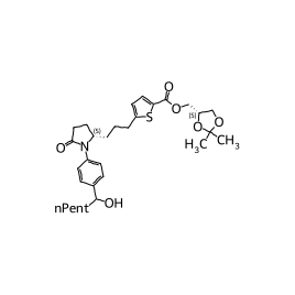 CCCCCC(O)c1ccc(N2C(=O)CC[C@@H]2CCCc2ccc(C(=O)OC[C@@H]3COC(C)(C)O3)s2)cc1